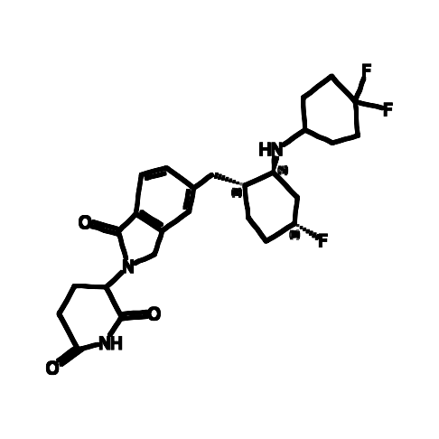 O=C1CCC(N2Cc3cc(C[C@H]4CC[C@@H](F)C[C@@H]4NC4CCC(F)(F)CC4)ccc3C2=O)C(=O)N1